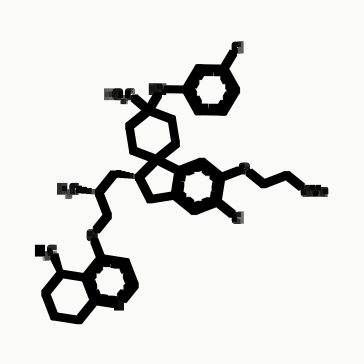 COCCOc1cc2c(cc1Cl)C[C@H](C[C@@H](C)COc1ccnc3c1[C@H](C)CCC3)C21CCC(Nc2cccc(Cl)c2)(C(=O)O)CC1